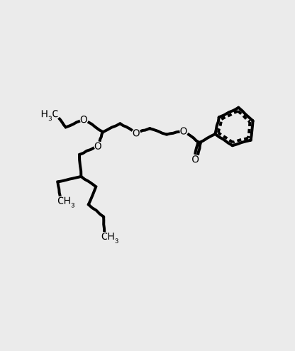 CCCCC(CC)COC(COCCOC(=O)c1ccccc1)OCC